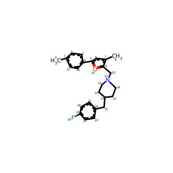 Cc1ccc(-c2cc(C)c(CN3CCC(Cc4ccc(F)cc4)CC3)o2)cc1